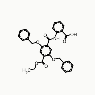 CCOC(=O)c1cc(OCc2ccccc2)c(C(=O)Nc2ccccc2C(=O)O)cc1OCc1ccccc1